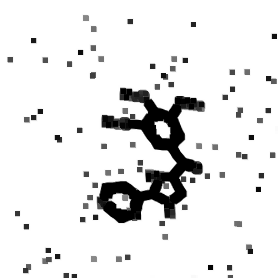 COc1cc(C(=O)C2CNC(c3ccncn3)N2)cc(OC)c1OC